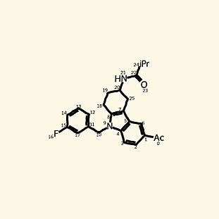 CC(=O)c1ccc2c(c1)c1c(n2Cc2cccc(F)c2)CCC(NC(=O)C(C)C)C1